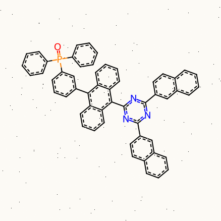 O=P(c1ccccc1)(c1ccccc1)c1cccc(-c2c3ccccc3c(-c3nc(-c4ccc5ccccc5c4)nc(-c4ccc5ccccc5c4)n3)c3ccccc23)c1